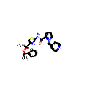 CC(OC(C)(C)c1csc(NC(=O)c2cccn2Cc2ccncc2)n1)c1ccccc1